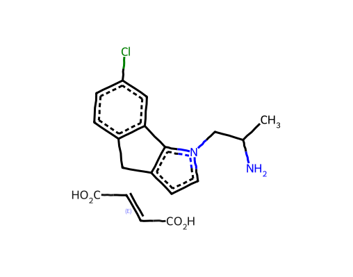 CC(N)Cn1ccc2c1-c1cc(Cl)ccc1C2.O=C(O)/C=C/C(=O)O